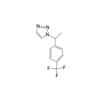 CC(c1ccc(C(F)(F)F)cc1)n1ccnn1